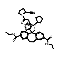 CCNC(=O)c1ccc2c(c1)CCc1cc(C(=O)NCC)ccc1C2(C[C@H](NCC(=O)N1CCCC1C#N)C1CCCC1)c1nnn[nH]1